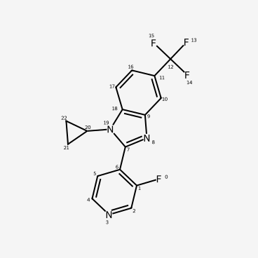 Fc1cnccc1-c1nc2cc(C(F)(F)F)ccc2n1C1CC1